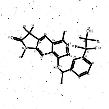 Cc1nnc(N[C@H](C)c2cccc(C(F)(F)C(C)(C)O)c2)c2cc3c(cc12)C(C)(C)C(=O)N3C